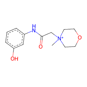 C[N+]1(CC(=O)Nc2cccc(O)c2)CCOCC1